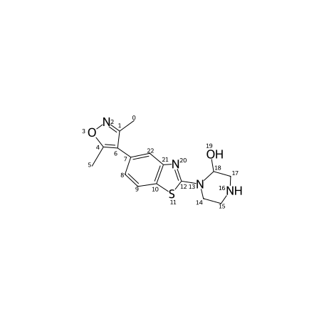 Cc1noc(C)c1-c1ccc2sc(N3CCNCC3O)nc2c1